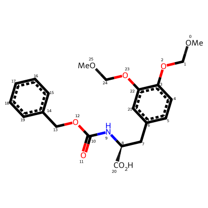 COCOc1ccc(C[C@H](NC(=O)OCc2ccccc2)C(=O)O)cc1OCOC